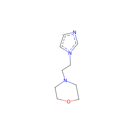 [c]1cn(CCN2CCOCC2)cn1